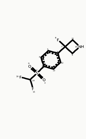 O=S(=O)(c1ccc(C2(F)CNC2)cc1)C(F)F